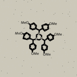 COc1ccc(C(c2ccc(OC)cc2)N2CN(C(c3ccc(OC)cc3)c3ccc(OC)cc3)CN(C(c3ccc(OC)cc3)c3ccc(OC)cc3)C2)cc1